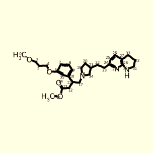 COCCCOc1cccc(C(CC(=O)OC)CN2CCC(CCc3ccc4c(n3)NCCC4)C2)c1